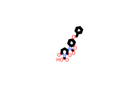 O=C(O)N1C(=O)CCC(n2c(=O)oc3cc(OCc4ccccc4)ccc32)C1=O